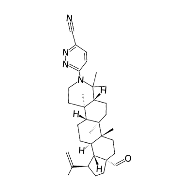 C=C(C)[C@@H]1CC[C@]2(C=O)CC[C@]3(C)[C@H](CC[C@@H]4[C@@]5(C)CCN(c6ccc(C#N)nn6)C(C)(C)[C@@H]5CC[C@]43C)[C@@H]12